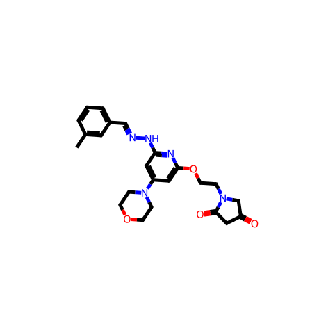 Cc1cccc(C=NNc2cc(N3CCOCC3)cc(OCCN3CC(=O)CC3=O)n2)c1